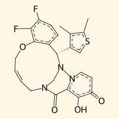 Cc1scc([C@H]2c3ccc(F)c(F)c3OC/C=C\CN3CN2n2ccc(=O)c(O)c2C3=O)c1C